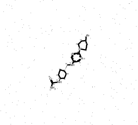 CC(C)C1CCN(c2ncc(NC[C@H]3CC[C@H](NC(N)=O)CC3)cn2)CC1